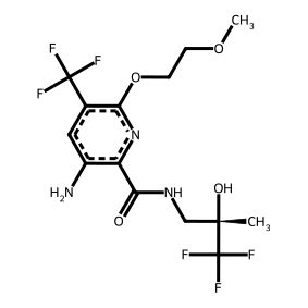 COCCOc1nc(C(=O)NC[C@](C)(O)C(F)(F)F)c(N)cc1C(F)(F)F